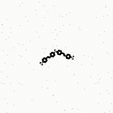 CN(C)c1ccc(/C=C/c2ccc(N(C)c3ccc(/C=C/c4ccc(N(C)C)cc4)cc3)cc2)cc1